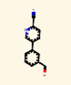 N#Cc1ccc(-c2cccc(C=O)c2)cn1